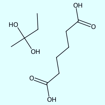 CCC(C)(O)O.O=C(O)CCCCC(=O)O